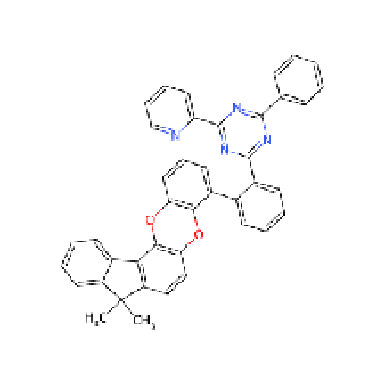 CC1(C)c2ccccc2-c2c1ccc1c2Oc2cccc(-c3ccccc3-c3nc(-c4ccccc4)nc(-c4ccccn4)n3)c2O1